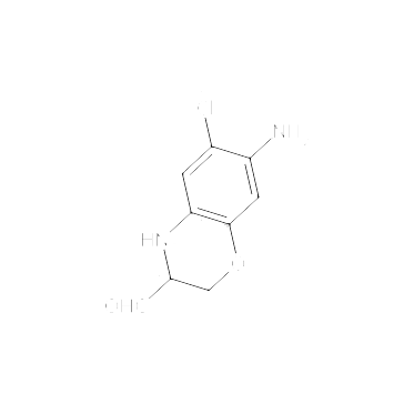 Nc1cc2c(cc1Cl)NC(C=O)CO2